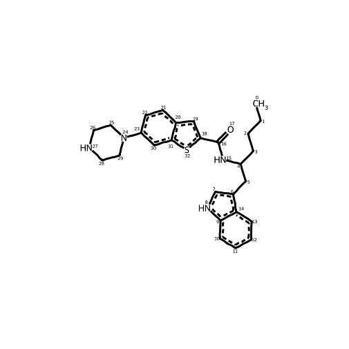 CCCCC(Cc1c[nH]c2ccccc12)NC(=O)c1cc2ccc(N3CCNCC3)cc2s1